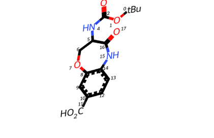 CC(C)(C)OC(=O)NC1COc2cc(C(=O)O)ccc2NC1=O